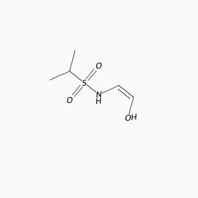 CC(C)S(=O)(=O)N/C=C\O